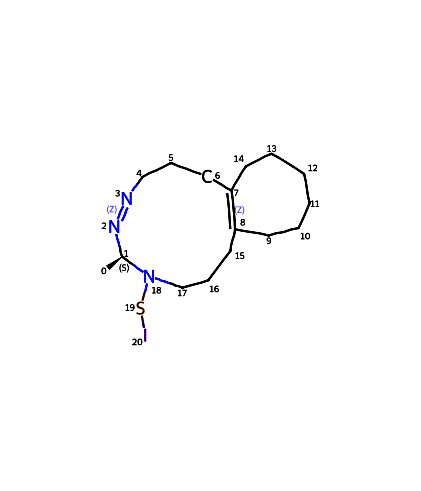 C[C@H]1/N=N\CCC/C2=C(/CCCCCC2)CCCN1SI